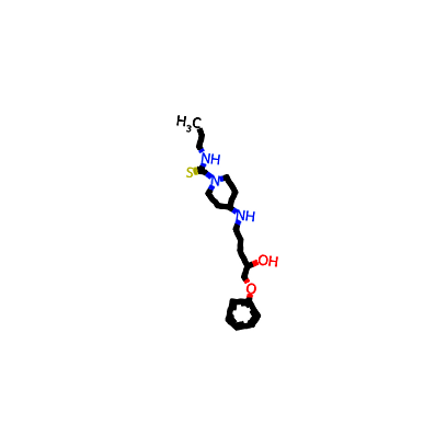 CCCNC(=S)N1CCC(NCCCC(O)COc2ccccc2)CC1